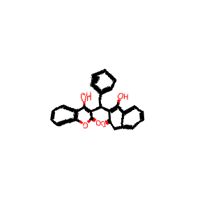 O=C1Cc2ccccc2C(O)=C1C(c1ccccc1)c1c(O)c2ccccc2oc1=O